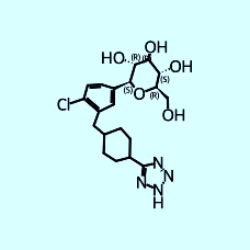 OC[C@H]1O[C@@H](c2ccc(Cl)c(CC3CCC(c4nn[nH]n4)CC3)c2)[C@H](O)[C@@H](O)[C@@H]1O